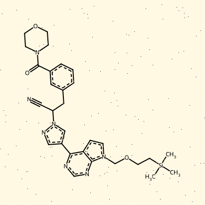 C[Si](C)(C)CCOCn1ccc2c(-c3cnn(C(C#N)Cc4cccc(C(=O)N5CCOCC5)c4)c3)ncnc21